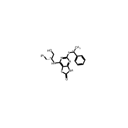 CC(C)C[C@H](CO)Nc1nc(S[C@@H](C)c2ccccc2)nc2[nH]c(=O)sc12